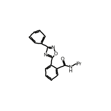 CC(C)NC(=O)c1ccccc1-c1nc(-c2ccccc2)no1